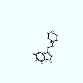 C1=C(CCN2CCOCC2)c2ccccc2C1